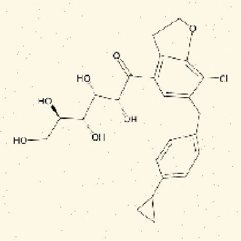 O=C(c1cc(Cc2ccc(C3CC3)cc2)c(Cl)c2c1CCO2)[C@H](O)[C@@H](O)[C@H](O)[C@H](O)CO